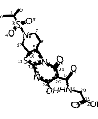 CC(C)S(=O)(=O)N1CCc2c(sc3nc(O)c(C(=O)NCC(=O)O)c(=O)n23)C1